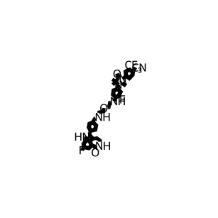 C=C1N(c2ccc(C#N)c(C(F)(F)F)c2)C(=O)C(C)(C)N1c1ccc(NCCOCCNCc2ccc(-c3[nH]c4cc(F)cc5c4c3CCNC5=O)cc2)c(F)c1